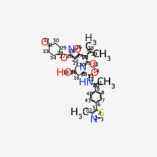 Cc1ncsc1-c1ccc([C@H](C)NC(=O)[C@@H]2C[C@@H](O)CN2C(=O)[C@@H](c2cc(OC3CCC(=O)CC3)no2)C(C)C)cc1